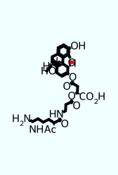 CC(=O)N[C@@H](CCCCN)C(=O)NCCC(=O)O[C@@H](CC(=O)OC1=CC[C@@]2(O)[C@H]3Cc4ccc(O)c5c4[C@@]2(CCN3C)[C@H]1O5)C(=O)O